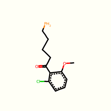 COc1cccc(Cl)c1C(=O)CCCCP